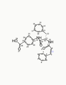 O=C(/C=C\c1ccccc1)N[C@@H](Cc1ccccc1)C(=O)Nc1ccc(C(=O)O)cc1